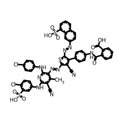 Cc1c(C#N)c(Nc2ccc(Cl)c(S(=O)(=O)O)c2)nc(Nc2ccc(Cl)cc2)c1N=Nc1sc(N=Nc2ccc3cccc(S(=O)(=O)O)c3c2)c(-c2ccc(NC(=O)c3ccccc3C(=O)O)cc2)c1C#N